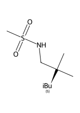 CC[C@H](C)C(C)(C)CNS(C)(=O)=O